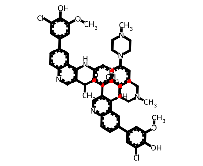 COc1cc(-c2ccc3ncc(C(C)C(=O)C(C)c4cnc5ccc(-c6cc(Cl)c(O)c(OC)c6)cc5c4Nc4ccc(N5CCN(C)CC5)nc4)c(Nc4ccc(N5CCN(C)CC5)nc4)c3c2)cc(Cl)c1O